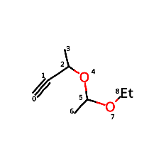 C#CC(C)OC(C)OCC